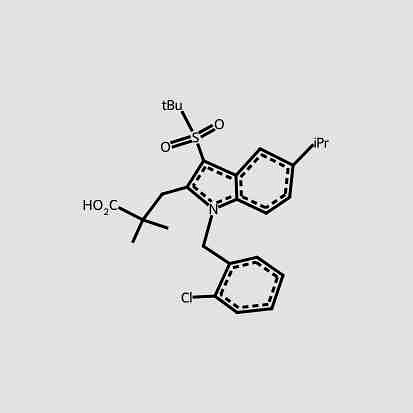 CC(C)c1ccc2c(c1)c(S(=O)(=O)C(C)(C)C)c(CC(C)(C)C(=O)O)n2Cc1ccccc1Cl